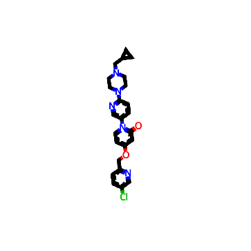 O=c1cc(OCc2ccc(Cl)cn2)ccn1-c1ccc(N2CCN(CC3CC3)CC2)nc1